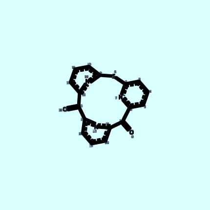 O=C1c2cccc(n2)Sc2cccc(n2)C(=O)c2cccc1n2